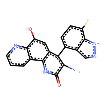 Nc1c(-c2ccc(F)c3[nH]ncc23)c2cc(O)c3ncccc3c2[nH]c1=O